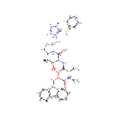 CC(O)C(NC(=O)C(C)N(C)C(=O)OCC1c2ccccc2-c2ccccc21)C(=O)N1CCCC1Cn1nnnc1Sc1ccccc1